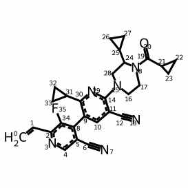 C=Cc1ncc(C#N)c(-c2cc(C#N)c(N3CCN(C(=O)C4CC4)C(C4CC4)C3)nc2C2CC2)c1F